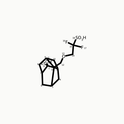 CCC1(O)C2CC3CC1CC(C2)C3COCC(F)(F)S(=O)(=O)O